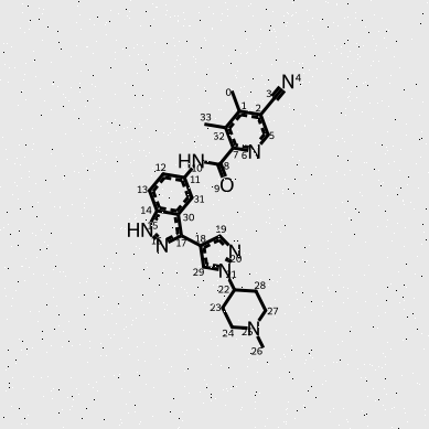 Cc1c(C#N)cnc(C(=O)Nc2ccc3[nH]nc(-c4cnn(C5CCN(C)CC5)c4)c3c2)c1C